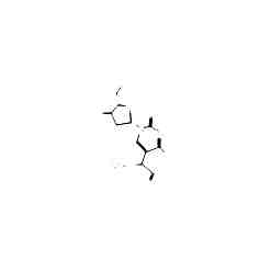 C=CC(OC)c1cn([C@H]2CC(O)[C@@H](CO)O2)c(=O)nc1N